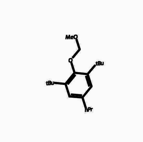 [CH2]CCc1cc(C(C)(C)C)c(OCOC)c(C(C)(C)C)c1